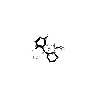 CN(C)[C@@H]1CCCC[C@@]1(O)Cc1cc(Cl)ccc1F.Cl